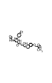 CCN1CCN(c2nc(NC3COC3)cc(C(=O)NC[C@H](O)CN3CCc4cc(OCc5ocnc5C)ccc4C3)n2)CC1